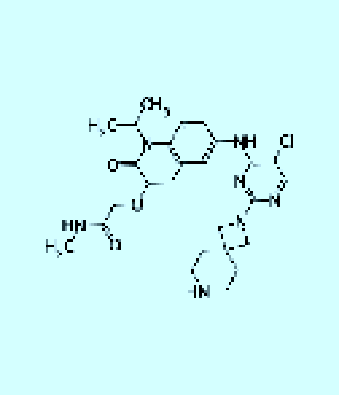 CNC(=O)COc1cc2cc(Nc3nc(N4CC5(CCNCC5)C4)ncc3Cl)ccc2n(C(C)C)c1=O